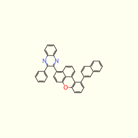 c1ccc(-c2nc3ccccc3nc2-c2ccc3c4c(cccc24)-c2c(cccc2-c2ccc4ccccc4c2)O3)cc1